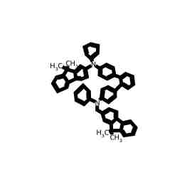 CC1(C)c2ccccc2-c2ccc(CN(c3ccccc3)c3ccc(-c4ccccc4-c4ccc(N(c5ccccc5)c5ccc6c(c5)C(C)(C)c5ccccc5-6)cc4)cc3)cc21